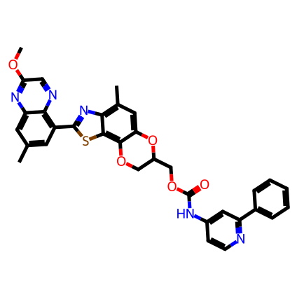 COc1cnc2c(-c3nc4c(C)cc5c(c4s3)OCC(COC(=O)Nc3ccnc(-c4ccccc4)c3)O5)cc(C)cc2n1